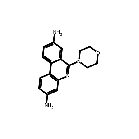 Nc1ccc2c(c1)nc(N1CCOCC1)c1cc(N)ccc12